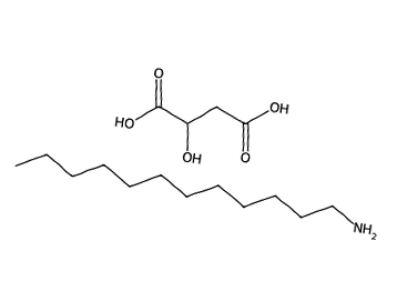 CCCCCCCCCCCCN.O=C(O)CC(O)C(=O)O